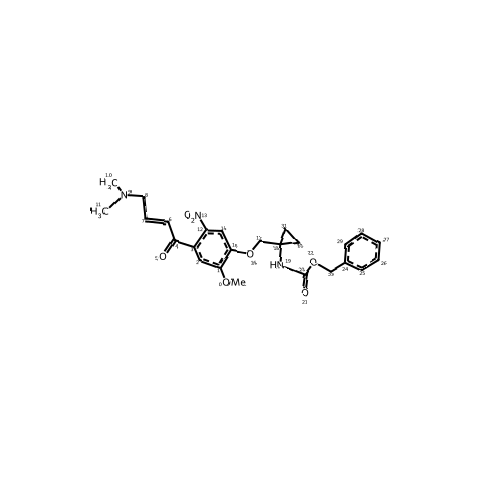 COc1cc(C(=O)C=CCN(C)C)c([N+](=O)[O-])cc1OCC1(NC(=O)OCc2ccccc2)CC1